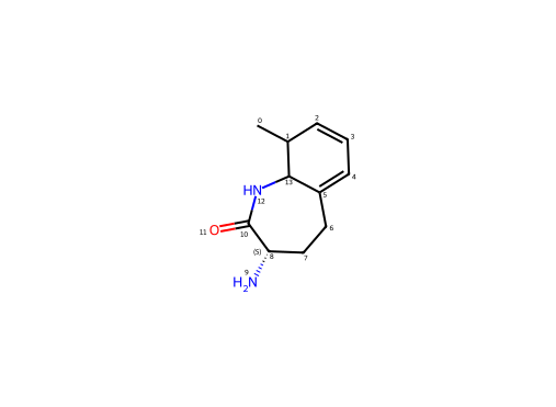 CC1C=CC=C2CC[C@H](N)C(=O)NC21